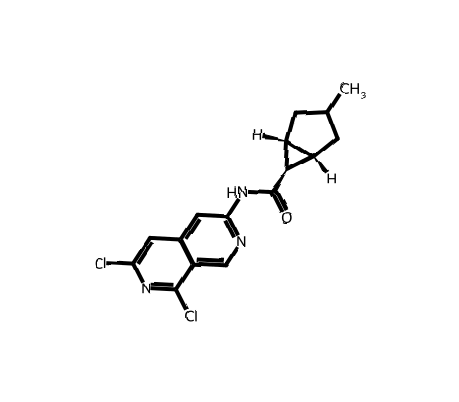 CC1C[C@@H]2[C@H](C1)[C@H]2C(=O)Nc1cc2cc(Cl)nc(Cl)c2cn1